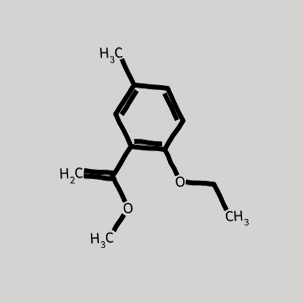 C=C(OC)c1cc(C)ccc1OCC